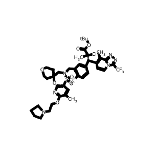 Cc1ccc([C@H](c2ccn3c(C(F)(F)F)nnc3c2C)C(C)(C)C(=O)OC(C)(C)C)cc1CN1CC2(CCOCC2)Oc2nc(OCCN3CCCC3)c(C)cc2S1(=O)=O